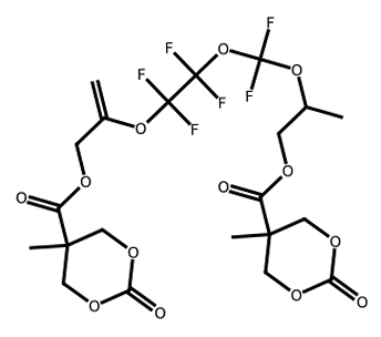 C=C(COC(=O)C1(C)COC(=O)OC1)OC(F)(F)C(F)(F)OC(F)(F)OC(C)COC(=O)C1(C)COC(=O)OC1